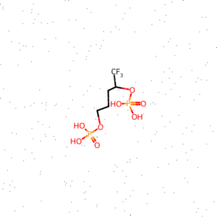 O=P(O)(O)OCCCC(OP(=O)(O)O)C(F)(F)F